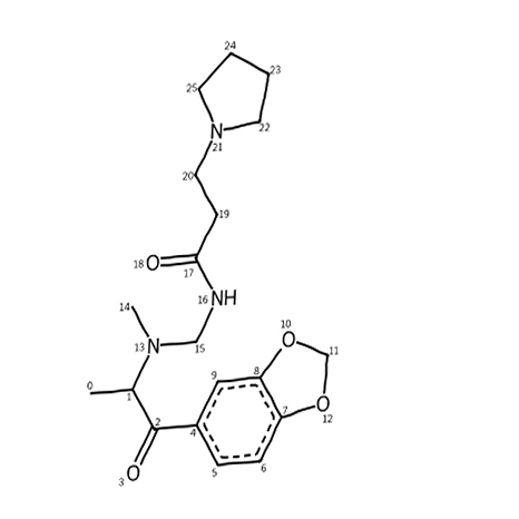 CC(C(=O)c1ccc2c(c1)OCO2)N(C)CNC(=O)CCN1CCCC1